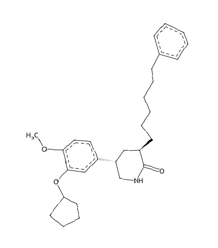 COc1ccc([C@H]2CNC(=O)[C@H](CCCCCCc3ccccc3)C2)cc1OC1CCCC1